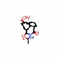 CC(=O)NN1C(=O)c2cccc3c(O)ccc(c23)C1=O